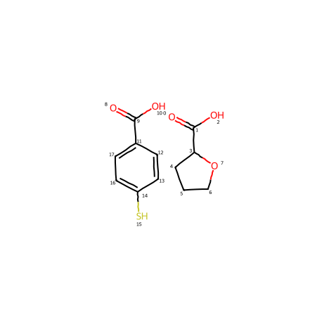 O=C(O)C1CCCO1.O=C(O)c1ccc(S)cc1